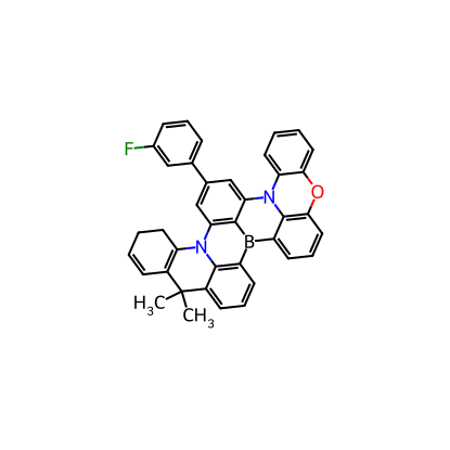 CC1(C)C2=C(CCC=C2)N2c3cc(-c4cccc(F)c4)cc4c3B(c3cccc1c32)c1cccc2c1N4c1ccccc1O2